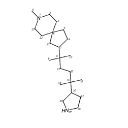 CN1CCC2(CCC(C(C)(C)CCC(C)(C)C3CCNC3)C2)CC1